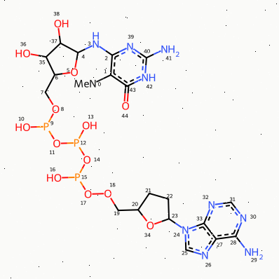 CNc1c(NC2OC(COP(O)OP(O)OP(O)OOCC3CCC(n4cnc5c(N)ncnc54)O3)C(O)C2O)nc(N)[nH]c1=O